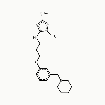 CC(=O)Nc1nc(NCCCOc2cccc(CN3CCCCC3)c2)n(C)n1